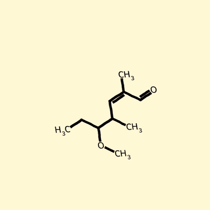 CCC(OC)C(C)C=C(C)C=O